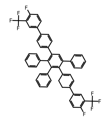 Fc1ccc(C2=CC=C(c3c(-c4ccccc4)cc(-c4ccc(-c5ccc(F)c(C(F)(F)F)c5)cc4)c(-c4ccccc4)c3-c3ccccc3)CC2)cc1C(F)(F)F